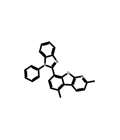 Cc1ccc2c(n1)oc1c(-c3nc4ccccc4n3-c3ccccc3)ccc(C)c12